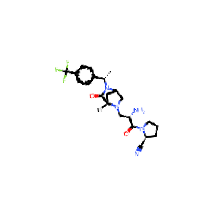 C[C@@H](c1ccc(C(F)(F)F)cc1)N1C(=O)[C@@H]2CC1CN2C[C@H](N)C(=O)N1CCC[C@H]1C#N